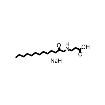 CCCCCCCCCCCC(=O)CNCCC(=O)O.[NaH]